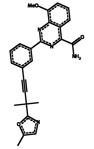 COc1cccc2c(C(N)=O)nc(-c3cccc(C#CC(C)(C)c4ncc(C)o4)c3)nc12